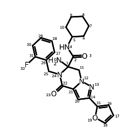 NC1(C(=O)NC2CCCCC2)Cn2nc(-c3ccco3)cc2C(=O)N1Cc1ccccc1F